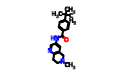 CN1CCc2ncc(NC(=O)c3ccc(C(C)(C)C)cc3)cc2C1